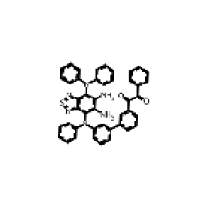 Nc1c(N)c(N(c2ccccc2)c2cccc(-c3cccc(C(=O)C(=O)c4ccccc4)c3)c2)c2nsnc2c1N(c1ccccc1)c1ccccc1